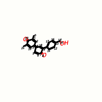 CC1=CC(=C2C=CC(=O)C(c3ccc(CO)cc3)=C2)C=C(C)C1=O